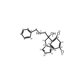 OC(CNCc1ccccc1)(Cn1cncn1)c1ccc(Cl)cc1Cl